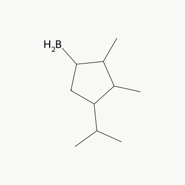 BC1CC(C(C)C)C(C)C1C